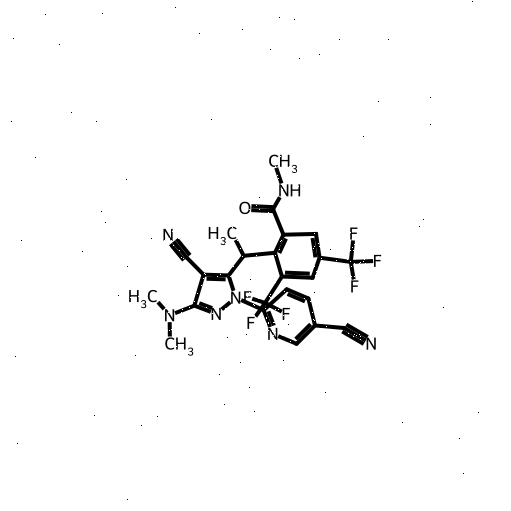 CNC(=O)c1cc(C(F)(F)F)cc(C(F)(F)F)c1C(C)c1c(C#N)c(N(C)C)nn1-c1ccc(C#N)cn1